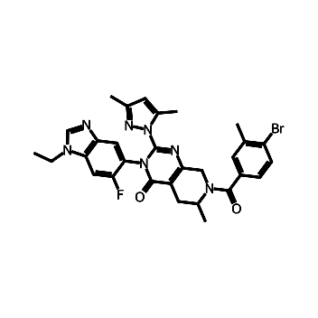 CCn1cnc2cc(-n3c(-n4nc(C)cc4C)nc4c(c3=O)CC(C)N(C(=O)c3ccc(Br)c(C)c3)C4)c(F)cc21